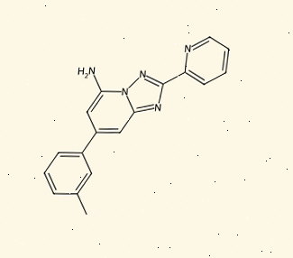 Cc1cccc(-c2cc(N)n3nc(-c4ccccn4)nc3c2)c1